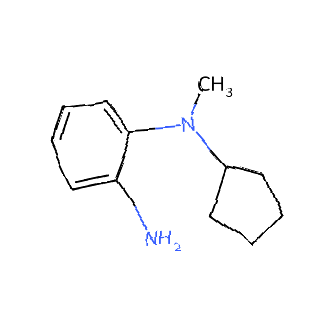 CN(c1ccccc1N)C1CCCC1